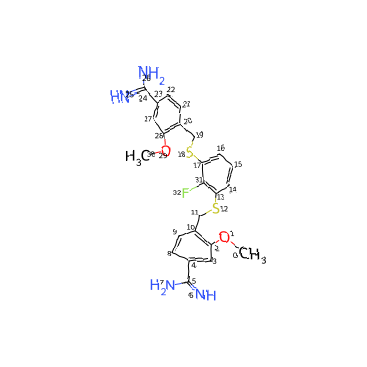 COc1cc(C(=N)N)ccc1CSc1cccc(SCc2ccc(C(=N)N)cc2OC)c1F